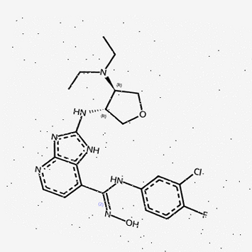 CCN(CC)[C@H]1COC[C@@H]1Nc1nc2nccc(/C(=N/O)Nc3ccc(F)c(Cl)c3)c2[nH]1